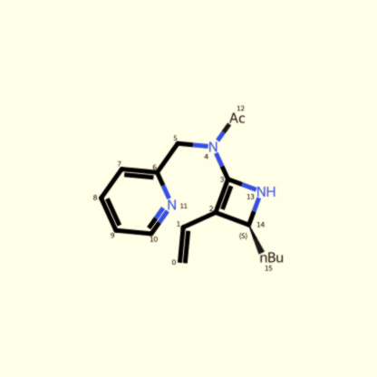 C=CC1=C(N(Cc2ccccn2)C(C)=O)N[C@H]1CCCC